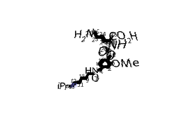 COc1cc(CNC(=O)CCCC/C=C/C(C)C)ccc1OC(=O)N[C@@H](CCCCN)C(=O)O